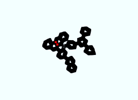 c1ccc(-c2cc(-c3ccccc3)cc(-c3ccc(N(c4cc(-c5ccc6ccccc6c5)ccc4-c4ccc5ccccc5c4)c4cccc5ccccc45)cc3)c2)cc1